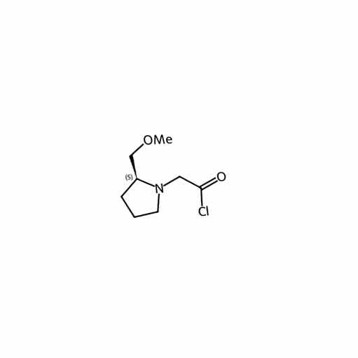 COC[C@@H]1CCCN1CC(=O)Cl